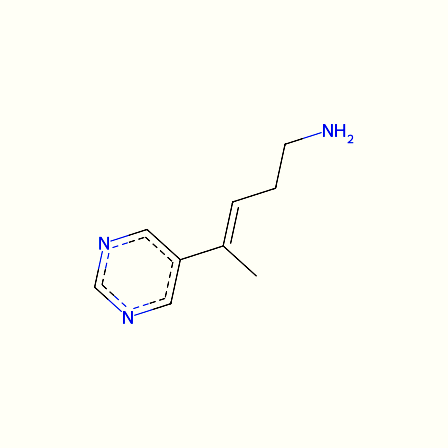 CC(=CCCN)c1cncnc1